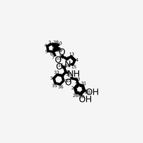 CC1(C)C2CCC1(C)C(OC(=O)C1C=CCN1C(=O)C(NC(=O)Cc1ccc(O)c(O)c1)C1CCCCC1)C2